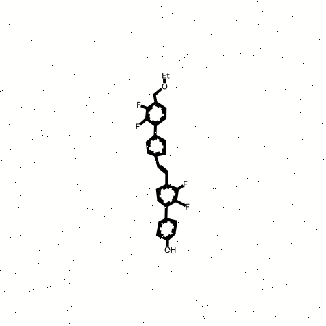 CCOCc1ccc(-c2ccc(/C=C/c3ccc(-c4ccc(O)cc4)c(F)c3F)cc2)c(F)c1F